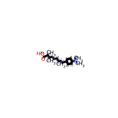 CC(/C=C/c1ccc(N(C)C)cc1)=C\C=C\C(C)=C(/C)C(=O)O